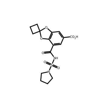 O=C(O)c1cc2c(c(C(=O)NS(=O)(=O)N3CCCC3)c1)OC1(CCC1)O2